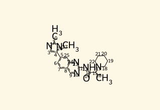 Cc1ncc(-c2ccc3cnc(NC(=O)C(C)N4CCCCC4)nc3c2)n1C